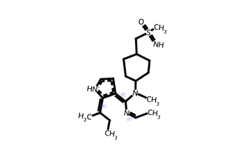 C\C=N/C(=c1/cc[nH]/c1=C(\C)CC)N(C)C1CCC(CS(C)(=N)=O)CC1